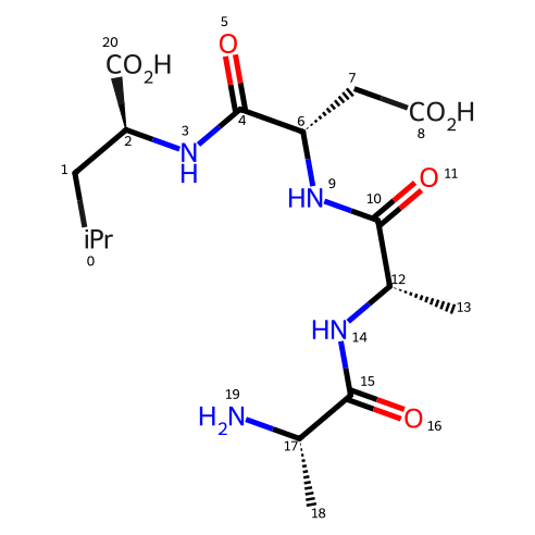 CC(C)C[C@H](NC(=O)[C@H](CC(=O)O)NC(=O)[C@H](C)NC(=O)[C@H](C)N)C(=O)O